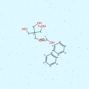 O=S(=O)(O)O.OCC(CO)(CO)CO.c1ccccc1.c1ccccc1